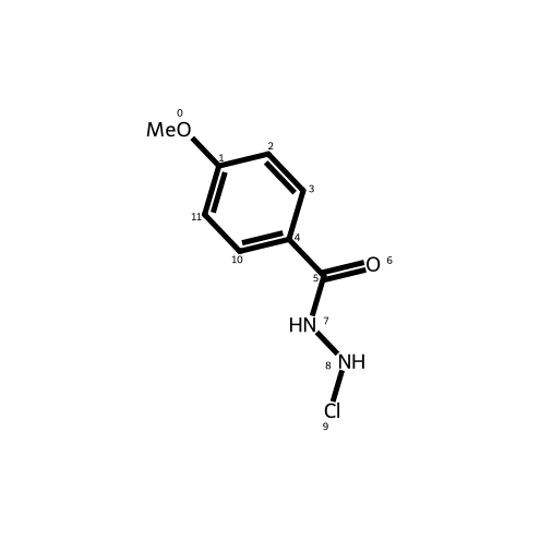 COc1ccc(C(=O)NNCl)cc1